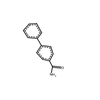 NC(=O)c1c[c]c(-c2ccccc2)cc1